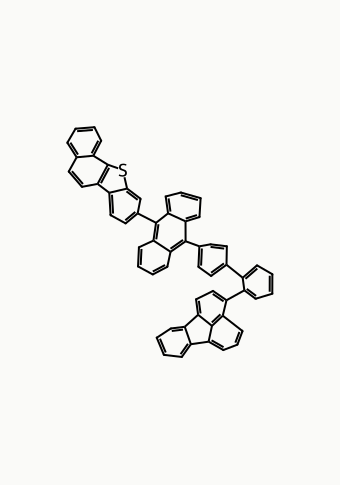 c1ccc(-c2ccc3c4c(cccc24)-c2ccccc2-3)c(-c2ccc(-c3c4ccccc4c(-c4ccc5c(c4)sc4c6ccccc6ccc54)c4ccccc34)cc2)c1